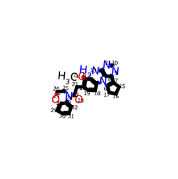 COc1cc(-n2c3c(c4ncnc(N)c42)CCC3)ccc1CC(=O)N1CCOc2ccccc21